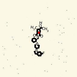 CC(O)C1C(C)C2CC1C1C(=O)N(C[C@@H]3CCCC[C@H]3CN3CCC(N4CCc5ccc(F)cc54)CC3)C(=O)C21